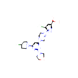 C[C@@H]1CN(c2ncc(C(=O)O)cc2Cl)CCN1c1cc(N2CCC(F)CC2)nc(N2CCOC[C@H]2C)n1